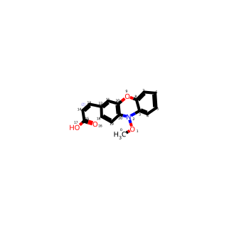 CON1c2ccccc2Oc2cc(/C=C\C(=O)O)ccc21